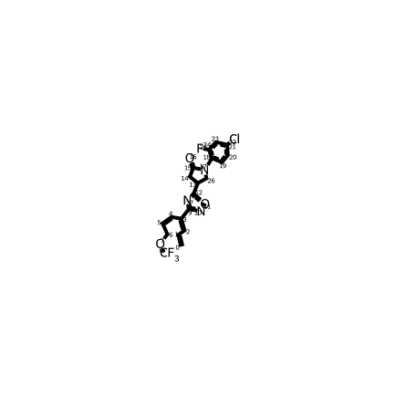 C=C/C=C(\C=C/COC(F)(F)F)c1noc(C2CC(=O)N(c3ccc(Cl)cc3F)C2)n1